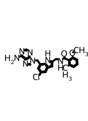 COc1cccc(C)c1C(=O)NCc1cc2cc(Cl)cc(Cn3cnc4c(N)ncnc43)c2[nH]1